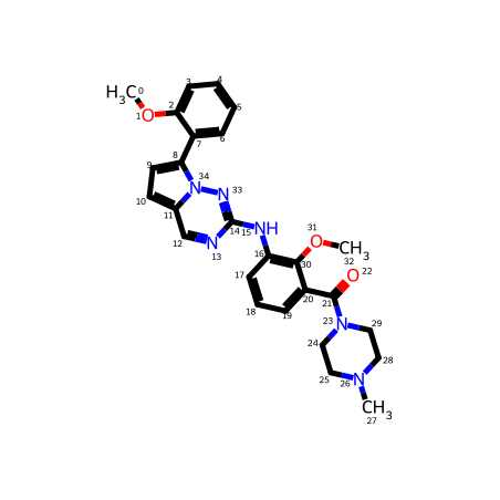 COc1ccccc1-c1ccc2cnc(Nc3cccc(C(=O)N4CCN(C)CC4)c3OC)nn12